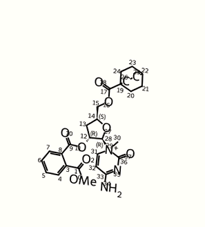 COC(=O)c1ccccc1C(=O)O[C@@H]1C[C@@H](COC(=O)C23CCC(CC2)CC3)O[C@H]1[N+]1(C)C=CC(N)=NC1=O